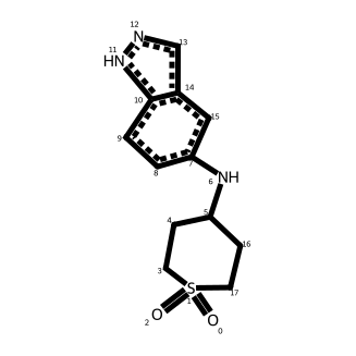 O=S1(=O)CCC(Nc2ccc3[nH]ncc3c2)CC1